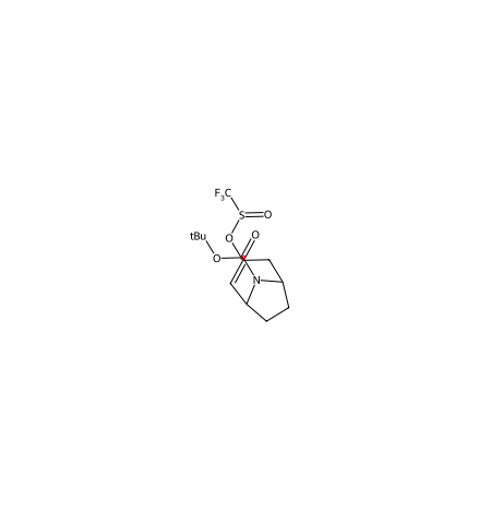 CC(C)(C)OC(=O)N1C2C=C(OS(=O)C(F)(F)F)CC1CC2